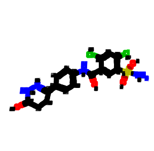 NS(=O)(=O)c1cc(C(=O)Nc2ccc(C3=NNC(=O)CC3)cc2)c(Cl)cc1Cl